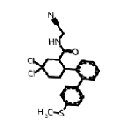 CSc1ccc(-c2ccccc2C2CCC(Cl)(Cl)CC2C(=O)NCC#N)cc1